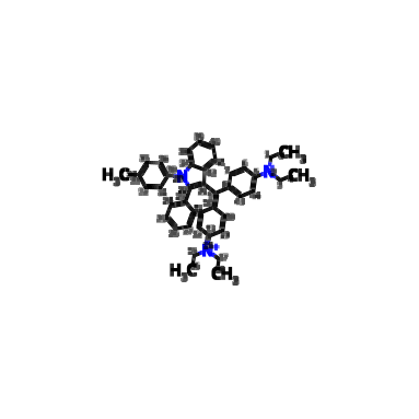 CCN(CC)c1ccc(C(=C2C=CC(=[N+](CC)CC)C=C2)c2c(-c3ccccc3)n(-c3ccc(C)cc3)c3ccccc23)cc1